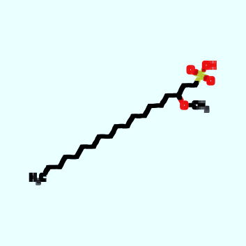 CCCCCCCCCCCCCCCCC(CCS(=O)(=O)O)OC